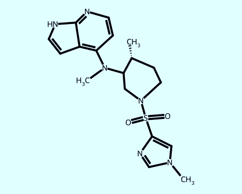 C[C@@H]1CCN(S(=O)(=O)c2cn(C)cn2)CC1N(C)c1ccnc2[nH]ccc12